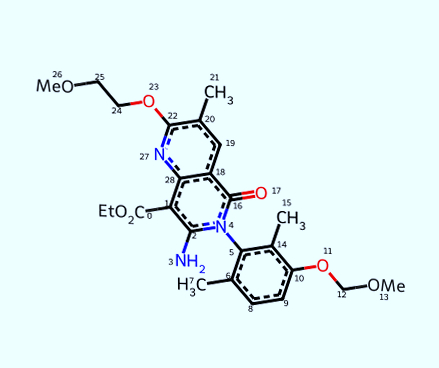 CCOC(=O)c1c(N)n(-c2c(C)ccc(OCOC)c2C)c(=O)c2cc(C)c(OCCOC)nc12